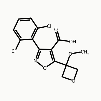 COC1(c2onc(-c3c(Cl)cccc3Cl)c2C(=O)O)COC1